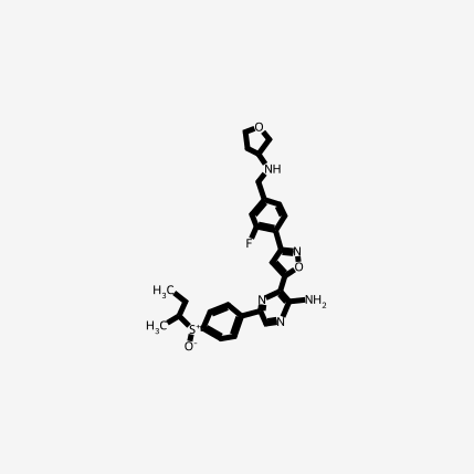 CCC(C)[S+]([O-])c1ccc(-c2cnc(N)c(-c3cc(-c4ccc(CNC5CCOC5)cc4F)no3)n2)cc1